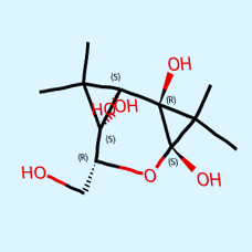 CC1(C)[C@@]2(O)[C@]3(O)C(C)(C)[C@]3(O)[C@@H](CO)O[C@@]12O